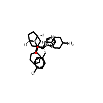 NC1CCC(N[C@H](Cc2ccc(Cl)cc2)C(=O)N2[C@@H]3CC[C@H]2CC(Cn2cncn2)(C2CCCCC2)C3)CC1